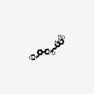 O=C1CCc2cc(/C=C/C(=O)N3CC=C(c4cccc(CN5CCOCC5)c4)CC3)cnc2N1